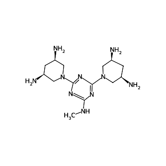 CNc1nc(N2C[C@H](N)C[C@H](N)C2)nc(N2C[C@H](N)C[C@H](N)C2)n1